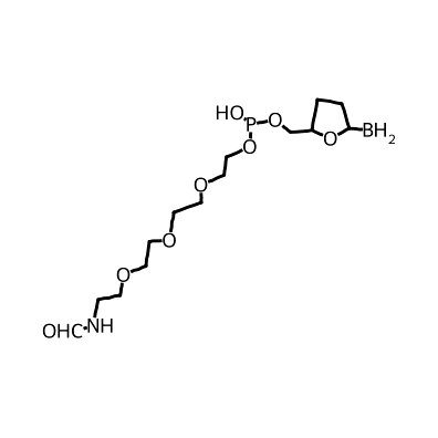 BC1CCC(COP(O)OCCOCCOCCOCCNC=O)O1